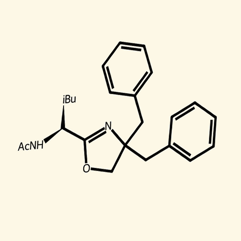 CC[C@H](C)[C@H](NC(C)=O)C1=NC(Cc2ccccc2)(Cc2ccccc2)CO1